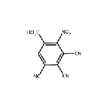 N#Cc1cc(C(=O)O)c([N+](=O)[O-])c(C#N)c1C#N